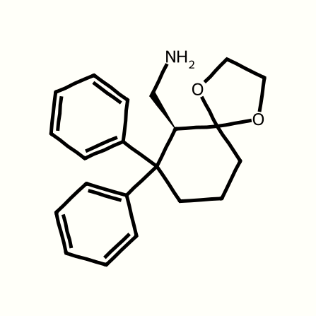 NC[C@H]1C2(CCCC1(c1ccccc1)c1ccccc1)OCCO2